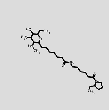 CCC1OC(CCCCCCC(=O)NCCCCCC(=O)N2CCCC2CC)C(NC)C(C)C1O